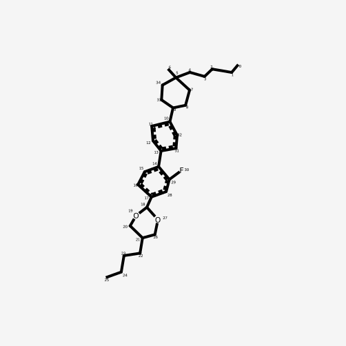 CCCCCC1(C)CCC(c2ccc(-c3ccc(C4OCC(CCCC)CO4)cc3F)cc2)CC1